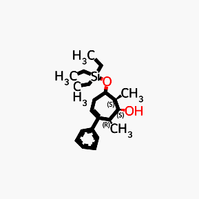 CC[Si](CC)(CC)OC1CC=C(c2ccccc2)[C@@H](C)[C@H](O)[C@@H]1C